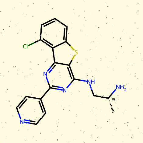 C[C@@H](N)CNc1nc(-c2ccncc2)nc2c1sc1cccc(Cl)c12